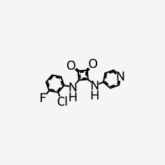 O=c1c(Nc2ccncc2)c(Nc2cccc(F)c2Cl)c1=O